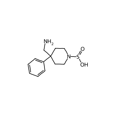 NCC1(c2ccccc2)CCN(S(=O)O)CC1